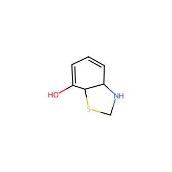 OC1=CC=CC2NCSC12